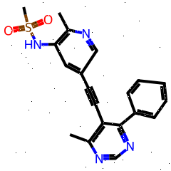 Cc1ncc(C#Cc2c(C)ncnc2-c2ccccc2)cc1NS(C)(=O)=O